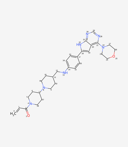 C=CC(=O)N1CCC(N2CCC(CNc3ccc(-c4cc5c(N6CCOCC6)ncnc5[nH]4)cc3)CC2)CC1